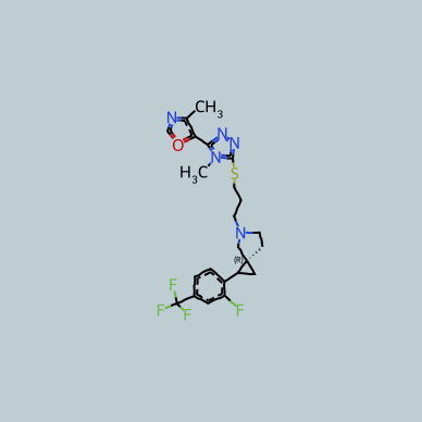 Cc1ncoc1-c1nnc(SCCCN2CC[C@@]3(CC3c3ccc(C(F)(F)F)cc3F)C2)n1C